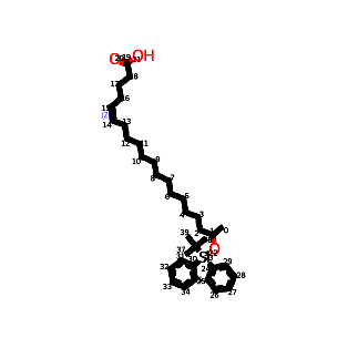 CC(CCCCCCCCCCCC/C=C\CCCC(=O)O)O[Si](c1ccccc1)(c1ccccc1)C(C)(C)C